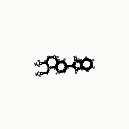 CCN1c2ncc(-c3nc4ccccc4[nH]3)cc2OCC1C